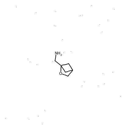 NCC12CC(CO1)C2